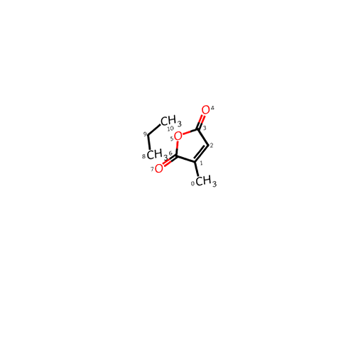 CC1=CC(=O)OC1=O.CCC